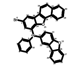 Brc1cc(N(c2ccccc2)c2ccc3oc4ccccc4c3c2)c2oc3c4ccccc4ccc3c2c1